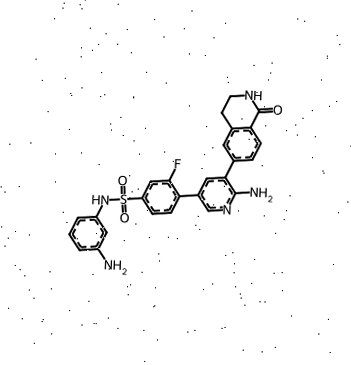 Nc1cccc(NS(=O)(=O)c2ccc(-c3cnc(N)c(-c4ccc5c(c4)CCNC5=O)c3)c(F)c2)c1